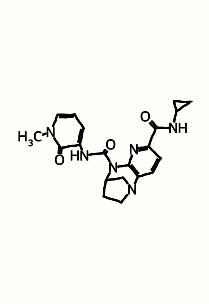 Cn1cccc(NC(=O)N2c3nc(C(=O)NC4CC4)ccc3N3CCC2C3)c1=O